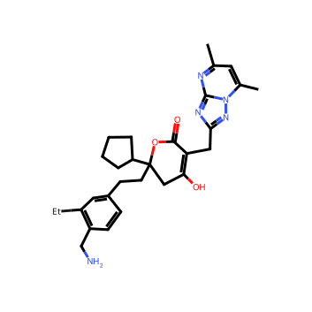 CCc1cc(CCC2(C3CCCC3)CC(O)=C(Cc3nc4nc(C)cc(C)n4n3)C(=O)O2)ccc1CN